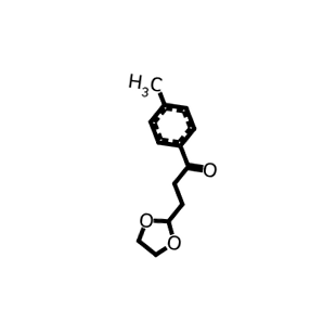 Cc1ccc(C(=O)CCC2OCCO2)cc1